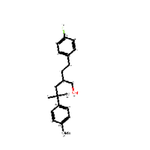 CCC(C)(CC(CO)CCc1ccc(F)cc1)c1ccc(OC)cc1